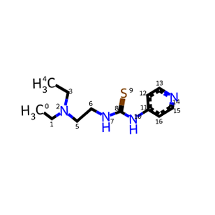 CCN(CC)CCNC(=S)Nc1ccncc1